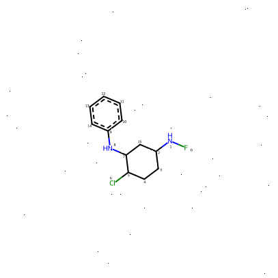 FNC1CCC(Cl)C(Nc2ccccc2)C1